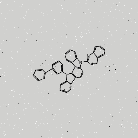 c1ccc(-c2cccc(-n3c4ccccc4c4ccc5c(c6ccccc6n5-c5ccc6ccccc6n5)c43)c2)cc1